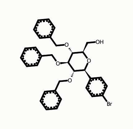 OC[C@H]1O[C@@H](c2ccc(Br)cc2)[C@H](OCc2ccccc2)[C@@H](OCc2ccccc2)[C@@H]1OCc1ccccc1